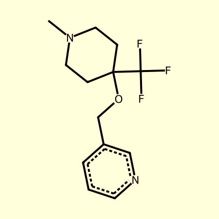 CN1CCC(OCc2cccnc2)(C(F)(F)F)CC1